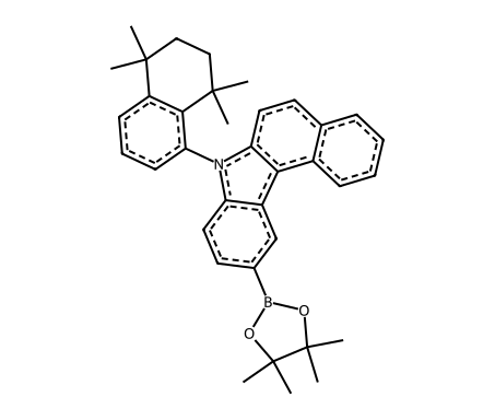 CC1(C)CCC(C)(C)c2c(-n3c4ccc(B5OC(C)(C)C(C)(C)O5)cc4c4c5ccccc5ccc43)cccc21